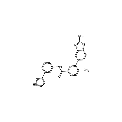 Cc1ccc(C(=O)Nc2cccc(-c3cc[nH]n3)c2)cc1-c1cnc2sc(N)nc2c1